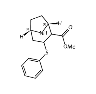 COC(=O)C1C(Sc2ccccc2)C[C@@H]2CC[C@H]1N2